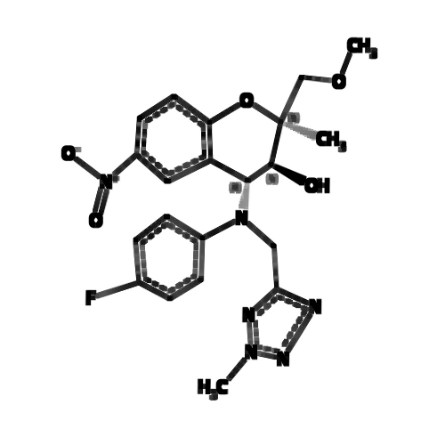 COC[C@]1(C)Oc2ccc([N+](=O)[O-])cc2[C@@H](N(Cc2nnn(C)n2)c2ccc(F)cc2)[C@@H]1O